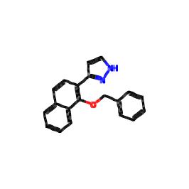 c1ccc(COc2c(-c3cc[nH]n3)ccc3ccccc23)cc1